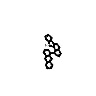 c1ccc2cc3c(-c4cccc5ccc6c7ccccc7[nH]c6c45)cccc3cc2c1